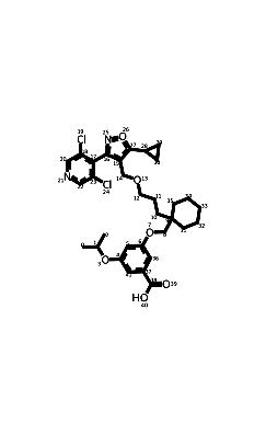 CC(C)Oc1cc(OCC2(CCCOCc3c(-c4c(Cl)cncc4Cl)noc3C3CC3)CCCCC2)cc(C(=O)O)c1